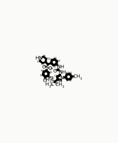 Cc1ccc(-n2nc(C(C)(C)C)cc2NC(=O)Nc2cccc(C(C3CCNCC3)S(=O)(=O)c3ccc(Cl)c(Cl)c3)c2)cc1